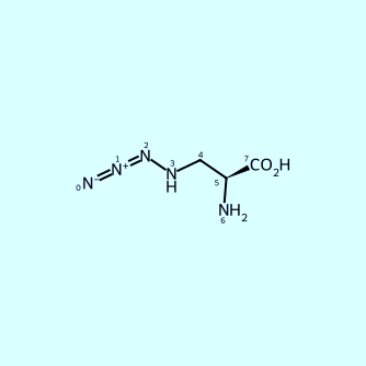 [N-]=[N+]=NNC[C@H](N)C(=O)O